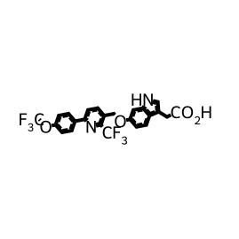 O=C(O)Cc1c[nH]c2cc(OCc3ccc(-c4ccc(OC(F)(F)F)cc4)nc3C(F)(F)F)ccc12